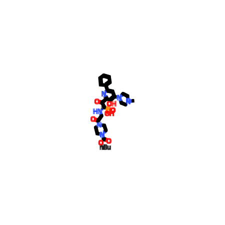 CCCCOC(=O)N1CCN(C(=O)CN[C@@H](C(=O)c2cc(N3CCN(C)CC3)cc(-c3ccccc3)n2)P(=O)(O)O)CC1